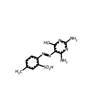 Cc1ccc(/N=N/c2c(N)nc(N)nc2O)c(S(=O)(=O)O)c1